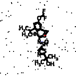 CC(C)c1cc(OC(F)F)cc(C2CC2)c1NC(=O)/N=[SH](=O)/c1cnc(C(C)(C)O)s1